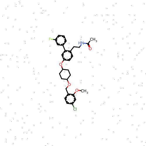 COc1cc(Cl)ccc1COC1CCC(Oc2ccc(CCNC(C)=O)c(-c3cccc(F)c3)c2)CC1